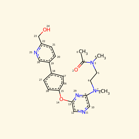 CC(=O)N(C)CCN(C)c1cncc(Oc2ccc(-c3ccc(CO)nc3)cc2)n1